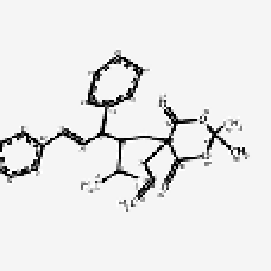 C=CCC1(CC(C(C)C)C(/C=C/c2ccccc2)c2ccccc2)C(=O)OC(C)(C)OC1=O